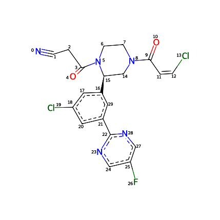 N#CCC(=O)N1CCN(C(=O)/C=C\Cl)C[C@H]1c1cc(Cl)cc(-c2ncc(F)cn2)c1